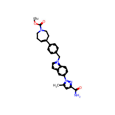 Cc1cc(C(N)=O)nn1-c1ccc2c(ccn2Cc2ccc(C3=CCCN(C(=O)OC(C)(C)C)CC3)cc2)c1